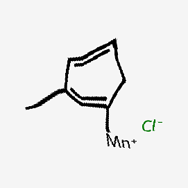 CC1=[C]([Mn+])CC=C1.[Cl-]